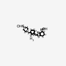 Cc1c(CN2CCN(C=O)CC2)cccc1Nc1nc2c(s1)CCCC2=NO